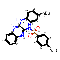 CCCCc1ccc(Nc2nc3ccccc3nc2NS(=O)(=O)c2ccc(C)cc2)cc1